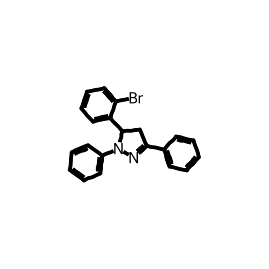 Brc1ccccc1C1CC(c2ccccc2)=NN1c1ccccc1